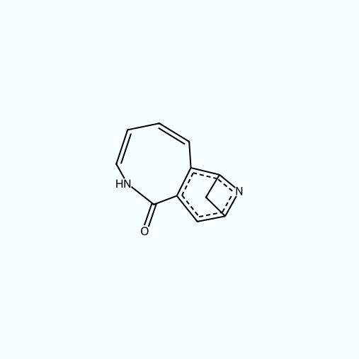 O=C1NC=CC=Cc2c1cc1nc2C1